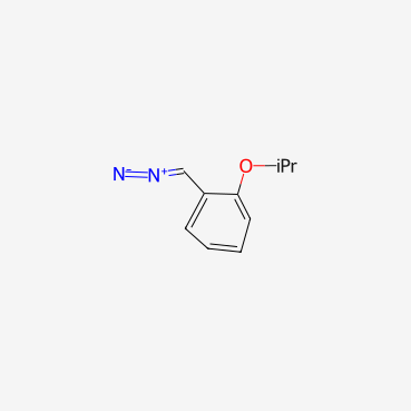 CC(C)Oc1ccccc1C=[N+]=[N-]